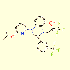 CC(C)Oc1cccc(N2C[C@@H](c3cccc(C(F)(F)F)c3)N(C[C@@H](O)C(F)(F)F)c3ccccc32)n1